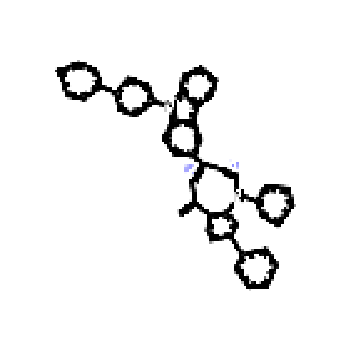 C=C1/C=C(c2ccc3c(c2)c2ccccc2n3-c2ccc(-c3ccccc3)cc2)\C=C/N(c2ccccc2)c2cc(-c3ccccc3)ccc21